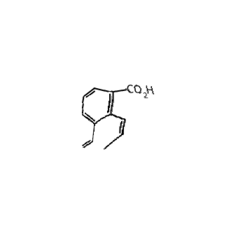 C=Cc1cccc(C(=O)O)c1/C=C\C